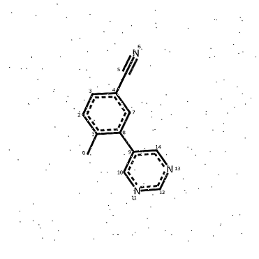 Cc1ccc(C#N)cc1-c1cncnc1